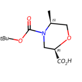 C[C@H]1CO[C@@H](C(=O)O)CN1C(=O)OC(C)(C)C